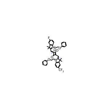 CC1(C)C(/C=C2/C(=O)C(/C=C3\N(CCOc4ccccc4)c4ccc(C(F)(F)F)cc4C3(C)C)=C2O)=[N+](CCOc2ccccc2)c2ccc(F)cc21